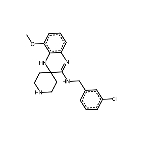 COc1cccc2c1NC1(CCNCC1)C(NCc1cccc(Cl)c1)=N2